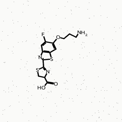 NCCCOc1cc2sc(C3=NC(C(=O)O)CS3)nc2cc1F